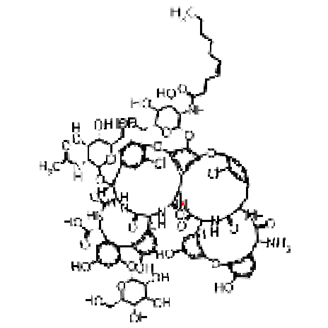 CCCCC/C=C\CCC(=O)N[C@H]1[C@H](Oc2c3cc4cc2Oc2ccc(cc2Cl)[C@@H](O[C@@H]2O[C@H](CO)[C@@H](O)[C@H](O)[C@H]2NC(C)=O)[C@@H]2NC(=O)[C@H](NC(=O)[C@@H]4NC(=O)[C@H]4NC(=O)[C@@H](Cc5ccc(c(Cl)c5)O3)NC(=O)[C@@H](N)c3ccc(O)c(c3)Oc3cc(O)cc4c3)c3ccc(O)c(c3)-c3c(O[C@H]4O[C@H](CO)[C@@H](O)[C@H](O)[C@@H]4O)cc(O)cc3[C@H](C(=O)O)NC2=O)O[C@H](CO)[C@@H](O)[C@@H]1O